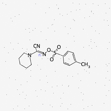 Cc1ccc(S(=O)(=O)O/N=C(\C#N)N2CCCCC2)cc1